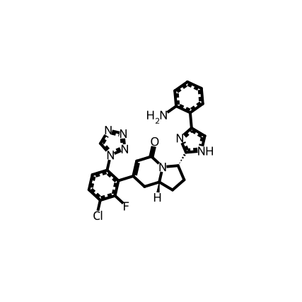 Nc1ccccc1-c1c[nH]c([C@@H]2CC[C@@H]3CC(c4c(-n5cnnn5)ccc(Cl)c4F)=CC(=O)N32)n1